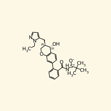 CCn1nccc1C[C@@H]1COc2cc(-c3ccccc3C(=O)N[S+]([O-])C(C)(C)C)ccc2[C@H]1O